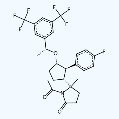 CC(=O)N1C(=O)CCC1(C)[C@@H]1CC[C@H](O[C@H](C)c2cc(C(F)(F)F)cc(C(F)(F)F)c2)[C@H]1c1ccc(F)cc1